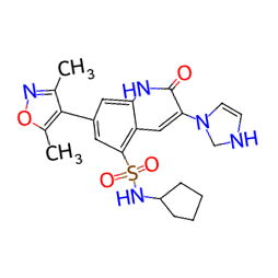 Cc1noc(C)c1-c1cc(S(=O)(=O)NC2CCCC2)c2cc(N3C=CNC3)c(=O)[nH]c2c1